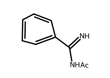 CC(=O)NC(=N)c1ccccc1